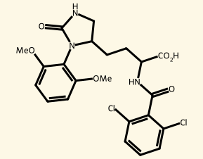 COc1cccc(OC)c1N1C(=O)NCC1CCC(NC(=O)c1c(Cl)cccc1Cl)C(=O)O